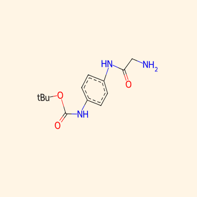 CC(C)(C)OC(=O)Nc1ccc(NC(=O)CN)cc1